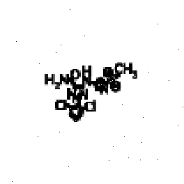 CCS(=O)(=O)n1cc(Nc2nn(-c3c(Cl)cccc3Cl)nc2C(N)=O)cn1